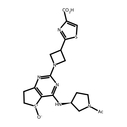 CC(=O)N1CC[C@H](Nc2nc(N3CC(c4nc(C(=O)O)cs4)C3)nc3c2[S+]([O-])CC3)C1